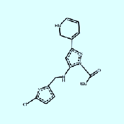 CC(C)(C)C(=O)n1nc(C2=CC=CNC2)cc1NCc1ccc(Cl)s1